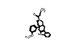 CCC(=O)N1CCC2(c3cccc(OC)c3)Cc3[nH]c4ccccc4c3CC2C1